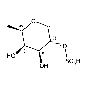 C[C@H]1O[CH][C@H](OS(=O)(=O)O)[C@@H](O)[C@H]1O